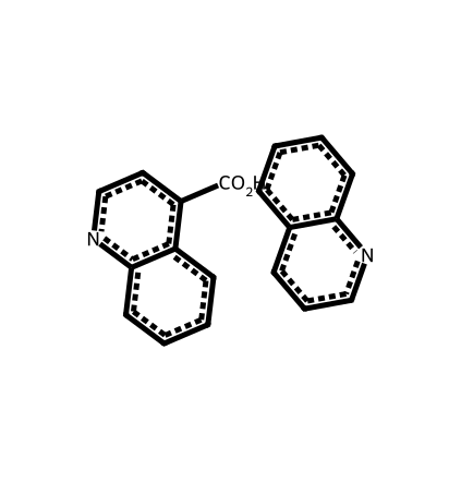 O=C(O)c1ccnc2ccccc12.c1ccc2ncccc2c1